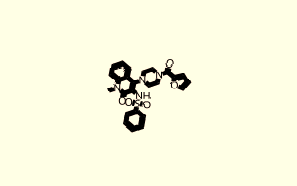 Cn1c(=O)c(NS(=O)(=O)c2ccccc2)c(N2CCN(C(=O)c3ccco3)CC2)c2ccccc21